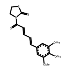 COc1cc(/C=C/C=C/C(=O)N2CCSC2=S)cc(OC)c1OC